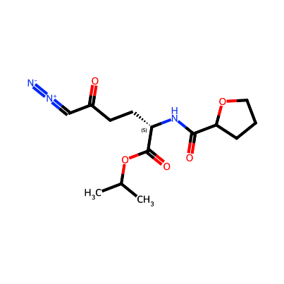 CC(C)OC(=O)[C@H](CCC(=O)C=[N+]=[N-])NC(=O)C1CCCO1